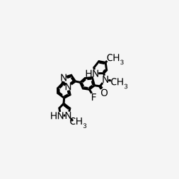 CC1=CCNC(N(C)C(=O)c2ccc(-c3cnc4ccc(C5=CN(C)NC5)cn34)cc2F)=C1